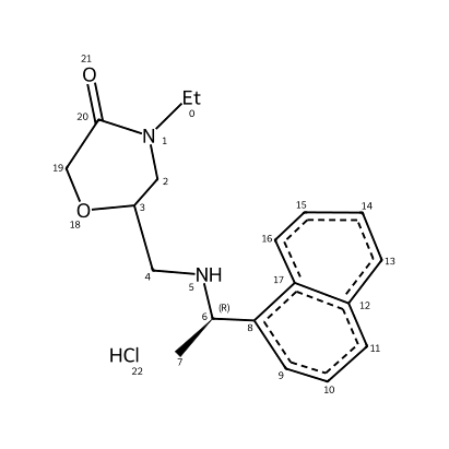 CCN1CC(CN[C@H](C)c2cccc3ccccc23)OCC1=O.Cl